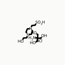 Cl.NC(CO)(CO)CO.O=S(=O)(O)CCN1CCN(CCO)CC1